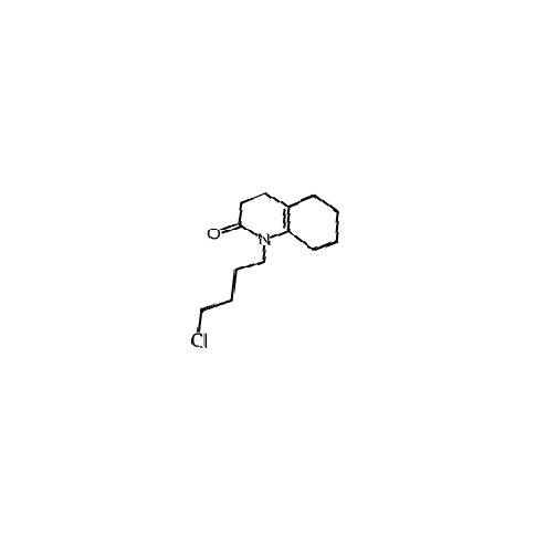 O=C1CCC2=C(CCCC2)N1CCCCCl